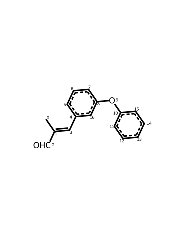 CC(C=O)=Cc1cccc(Oc2ccccc2)c1